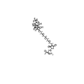 CC(=O)[C@@H](N)CSC1CC(=O)N(CCOCCOCCOCCOC[C@@]23CO[C@@H](O2)[C@@H](NC(=O)C(F)(F)F)[C@@H](O)[C@H]3O)C1=O